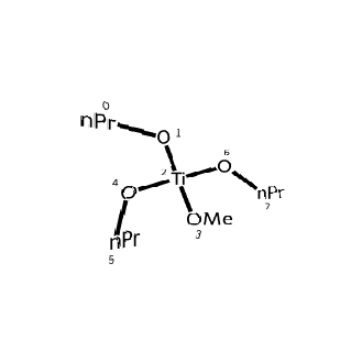 CCC[O][Ti]([O]C)([O]CCC)[O]CCC